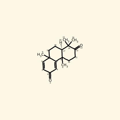 CC12C=CC(=O)C=C1C1(C)CCC(=O)C(C)(C)[C@@H]1CC2